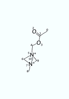 CC(=O)OC[N+]12C[N+](C)(C1)C2